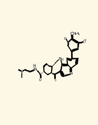 CC(=O)c1cnc2ccc(-c3cc(Cl)c(O)c(Cl)c3)cc2c1N[C@H]1CC[C@H](C(=O)NCCN(C)C)CC1